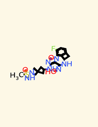 CS(=N)(=O)N1CC2(CC(Nc3nonc3/C(=N\O)N[C@H]3Cc4ccc(F)cc43)C2)C1